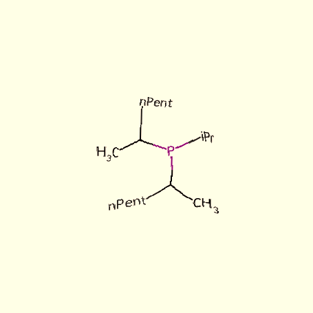 CCCCCC(C)P(C(C)C)C(C)CCCCC